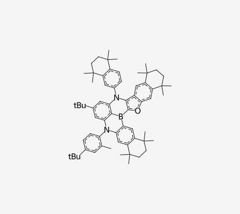 Cc1cc(C(C)(C)C)ccc1N1c2cc3c(cc2B2c4oc5cc6c(cc5c4N(c4ccc5c(c4)C(C)(C)CCC5(C)C)c4cc(C(C)(C)C)cc1c42)C(C)(C)CCC6(C)C)C(C)(C)CCC3(C)C